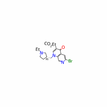 CCOC(=O)c1cn(C[C@@H]2CCN(CC)C2)c2cnc(Br)cc2c1=O